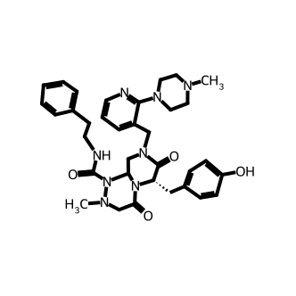 CN1CCN(c2ncccc2CN2CC3N(C(=O)CN(C)N3C(=O)NCCc3ccccc3)[C@@H](Cc3ccc(O)cc3)C2=O)CC1